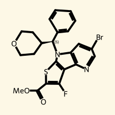 COC(=O)c1sc2c(c1F)c1ncc(Br)cc1n2[C@H](c1ccccc1)C1CCOCC1